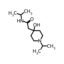 CC(C)NC(=O)CC1(O)CCN(C(C)C)CC1